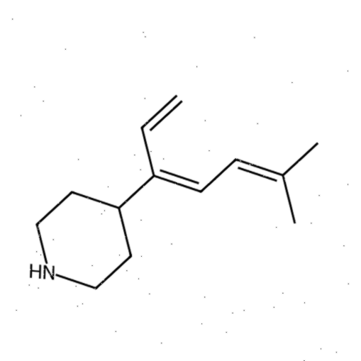 C=C/C(=C\C=C(C)C)C1CCNCC1